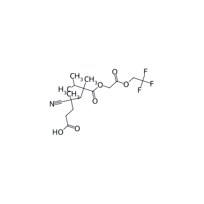 CC(C)C(C)(CC(C)(C#N)CCC(=O)O)C(=O)OCC(=O)OCC(F)(F)F